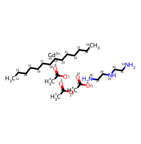 CC(=O)[O-].CC(=O)[O-].CC(=O)[O-].CCCCCCCCCCCCCC.NCCNCCN.[Gd+3]